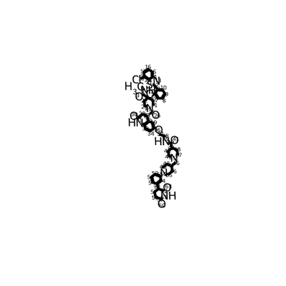 CNC(=O)C1(Oc2ccccc2-c2nc3cccc(Cl)c3s2)CCN(C(=O)[C@H]2CC(=O)Nc3ccc(OCCNC(=O)C4CCN(CC5CCN(c6cccc(C7CCC(=O)NC7=O)c6)CC5)CC4)cc32)CC1